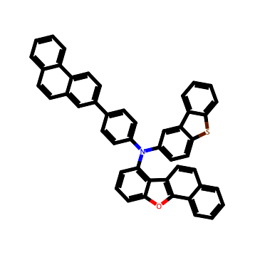 c1ccc2c(c1)ccc1cc(-c3ccc(N(c4ccc5sc6ccccc6c5c4)c4cccc5oc6c7ccccc7ccc6c45)cc3)ccc12